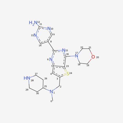 CN(Cc1cc2nc(-c3cnc(N)nc3)nc(N3CCOCC3)c2s1)C1CCNCC1